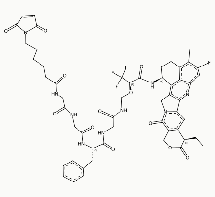 CC[C@H]1C(=O)OCc2c1cc1n(c2=O)Cc2c-1nc1cc(F)c(C)c3c1c2[C@@H](NC(=O)[C@@H](OCNC(=O)CNC(=O)[C@H](Cc1ccccc1)NC(=O)CNC(=O)CNC(=O)CCCCCN1C(=O)C=CC1=O)C(F)(F)F)CC3